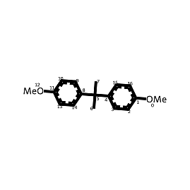 [CH2]Oc1ccc(C(C)(C)c2ccc(O[CH2])cc2)cc1